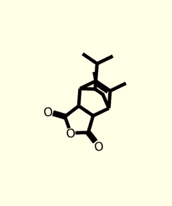 CC1=C(C)C2C(C(C)C)CC1C1C(=O)OC(=O)C12